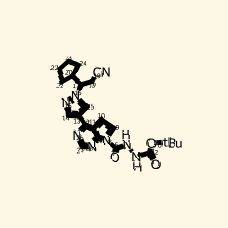 CC(C)(C)OC(=O)NNC(=O)n1ccc2c(-c3cnn(C(CC#N)C4CCCC4)c3)ncnc21